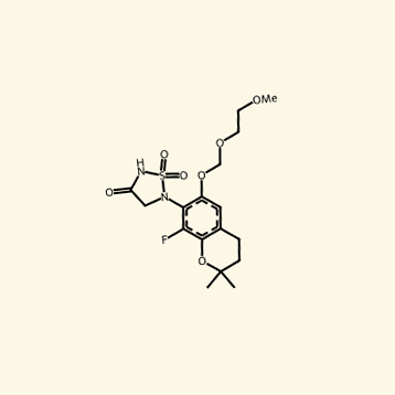 COCCOCOc1cc2c(c(F)c1N1CC(=O)NS1(=O)=O)OC(C)(C)CC2